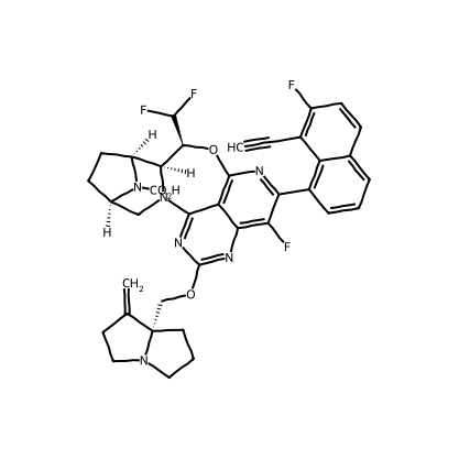 C#Cc1c(F)ccc2cccc(-c3nc4c5c(nc(OC[C@]67CCCN6CCC7=C)nc5c3F)N3C[C@H]5CC[C@@H]([C@H]3[C@@H](C(F)F)O4)N5C(=O)O)c12